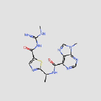 CNC(=N)NC(=O)c1cnc(C(C)NC(=O)c2ncnc3c2ncn3C)s1